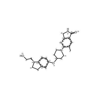 Cc1cc2c(nc1N1CCC(Oc3ccc4c(c3)CC[C@H]4CCO)CC1)CNC2=O